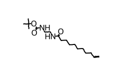 C=CCCCCCCCCC(=O)NCCNC(=O)OC(C)(C)C